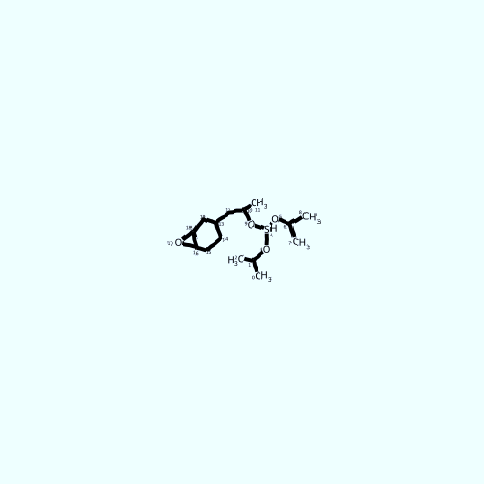 CC(C)O[SiH](OC(C)C)OC(C)CC1CCC2OC2C1